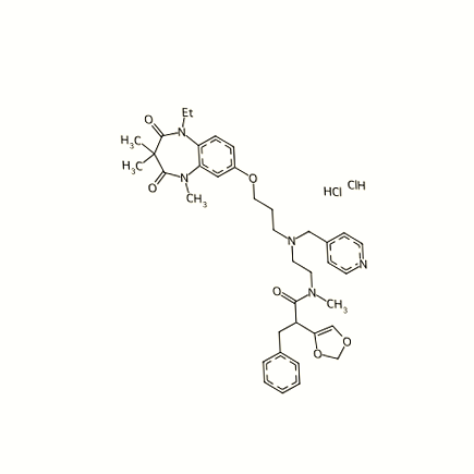 CCN1C(=O)C(C)(C)C(=O)N(C)c2cc(OCCCN(CCN(C)C(=O)C(Cc3ccccc3)C3=COCO3)Cc3ccncc3)ccc21.Cl.Cl